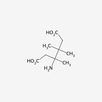 CC(C)(CC(=O)O)C(C)(N)CC(=O)O